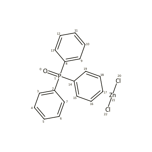 O=P(c1ccccc1)(c1ccccc1)c1ccccc1.[Cl][Zn][Cl]